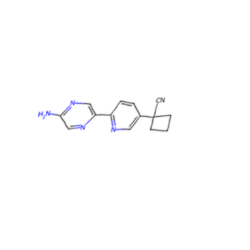 N#CC1(c2ccc(-c3cnc(N)cn3)nc2)CCC1